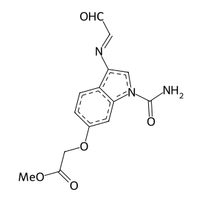 COC(=O)COc1ccc2c(N=CC=O)cn(C(N)=O)c2c1